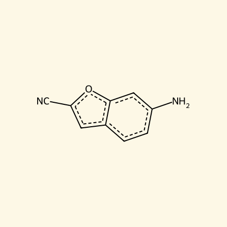 N#Cc1cc2ccc(N)cc2o1